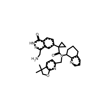 CC1(C)COc2nc(CN(C(=O)C3(c4ccc5c(=O)[nH]nc(CN)c5c4)CC3)C3CCCc4cccnc43)ccc21